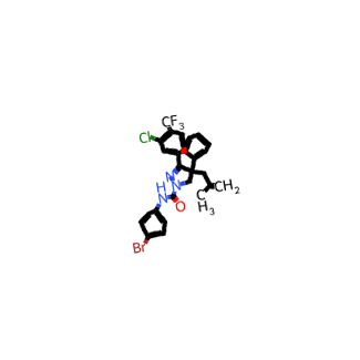 C=C(C)CC1(c2ccccc2)CN(C(=O)Nc2ccc(Br)cc2)N=C1c1ccc(C(F)(F)F)c(Cl)c1